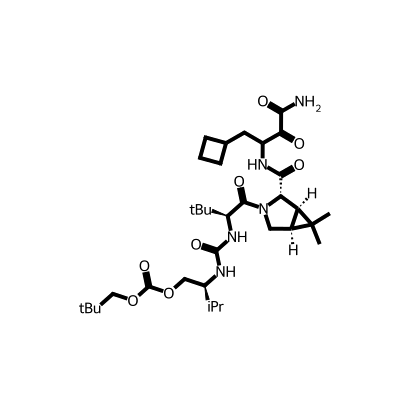 CC(C)[C@@H](COC(=O)OCC(C)(C)C)NC(=O)N[C@H](C(=O)N1C[C@H]2[C@@H]([C@H]1C(=O)NC(CC1CCC1)C(=O)C(N)=O)C2(C)C)C(C)(C)C